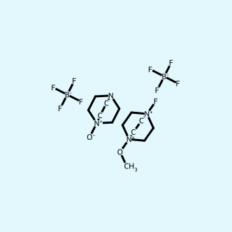 CO[N+]12CC[N+](F)(CC1)CC2.F[B-](F)(F)F.F[B-](F)(F)F.[O-][N+]12CCN(CC1)CC2